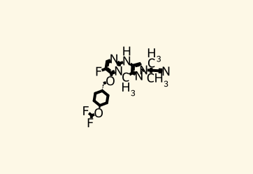 Cc1nn(C(C)(C)C#N)cc1Nc1ncc(F)c(OC[C@H]2CC[C@H](OC(F)F)CC2)n1